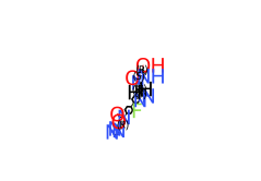 N#C[C@]1(c2ccc(-c3ccc(N4C[C@H](Cn5ccnn5)OC4=O)cc3F)cn2)[C@@H]2CN(C(=O)[C@@H]3C[C@@H](O)CN3)C[C@@H]21